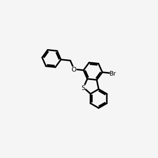 Brc1ccc(OCc2ccccc2)c2sc3ccccc3c12